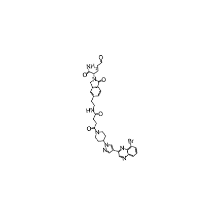 NC(=O)C(CCC=O)N1Cc2cc(CCNC(=O)CCC(=O)N3CCC(n4cc(-c5cnc6cccc(Br)c6n5)cn4)CC3)ccc2C1=O